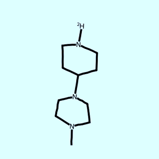 [2H]N1CCC(N2CCN(C)CC2)CC1